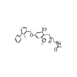 COc1cc(OCc2cccc(-c3ccccc3)c2C)cc(OC)c1CNCCNC(C)=O